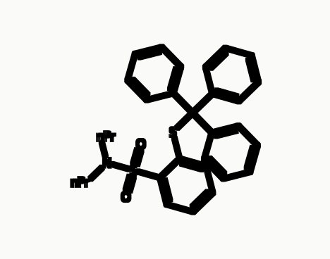 CCCN(CCC)S(=O)(=O)c1ccccc1SC(c1ccccc1)(c1ccccc1)c1ccccc1